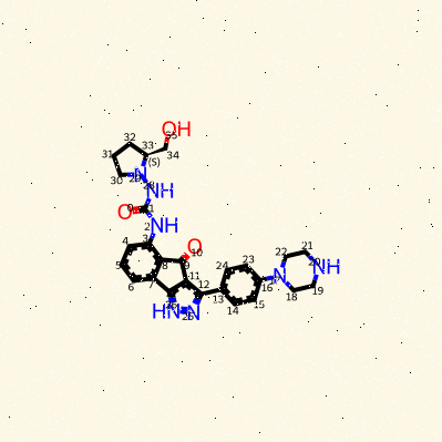 O=C(Nc1cccc2c1C(=O)c1c(-c3ccc(N4CCNCC4)cc3)n[nH]c1-2)NN1CCC[C@H]1CO